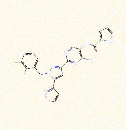 Nc1nc(-c2cc(-c3ccon3)n(Cc3cccc(F)c3F)n2)ncc1NC(=O)c1ccc[nH]1